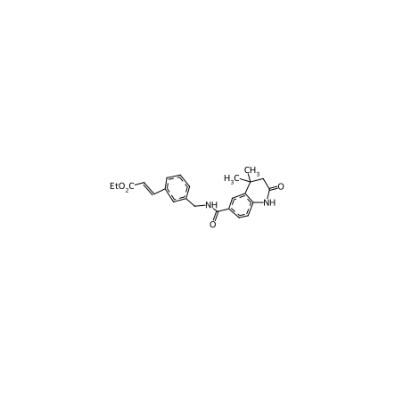 CCOC(=O)C=Cc1cccc(CNC(=O)c2ccc3c(c2)C(C)(C)CC(=O)N3)c1